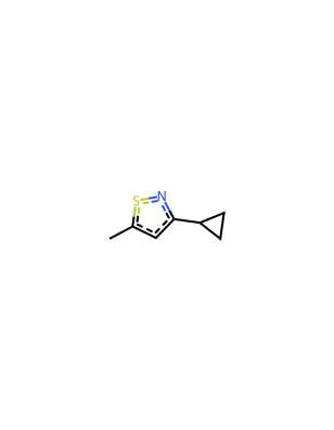 Cc1cc(C2CC2)ns1